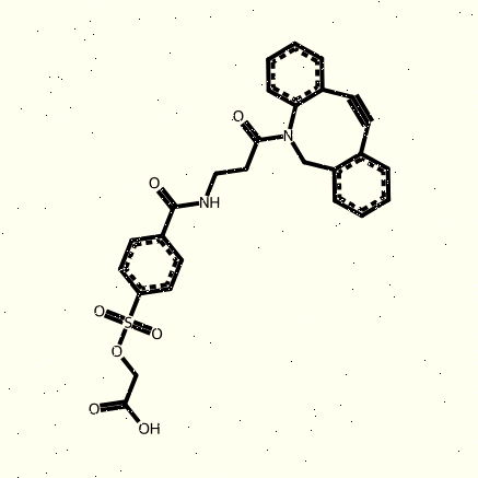 O=C(O)COS(=O)(=O)c1ccc(C(=O)NCCC(=O)N2Cc3ccccc3C#Cc3ccccc32)cc1